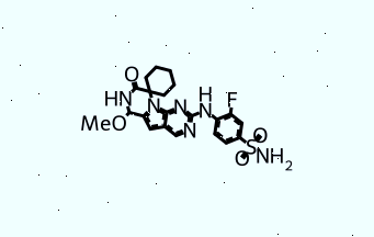 COC1NC(=O)C2(CCCCC2)n2c1cc1cnc(Nc3ccc(S(N)(=O)=O)cc3F)nc12